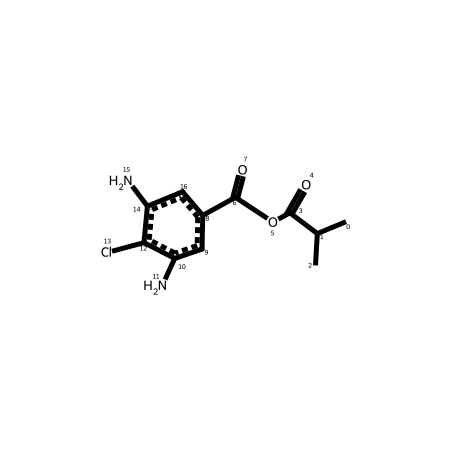 CC(C)C(=O)OC(=O)c1cc(N)c(Cl)c(N)c1